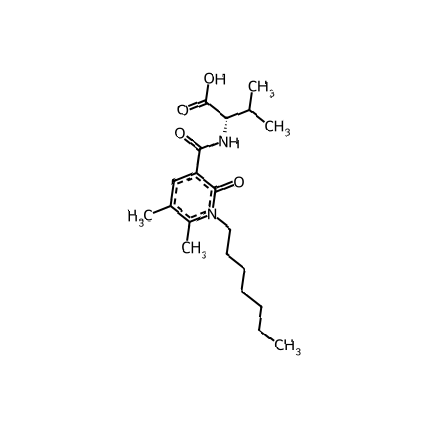 CCCCCCCn1c(C)c(C)cc(C(=O)N[C@H](C(=O)O)C(C)C)c1=O